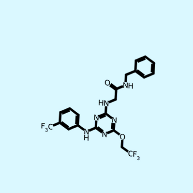 O=C(CNc1nc(Nc2cccc(C(F)(F)F)c2)nc(OCC(F)(F)F)n1)NCc1ccccc1